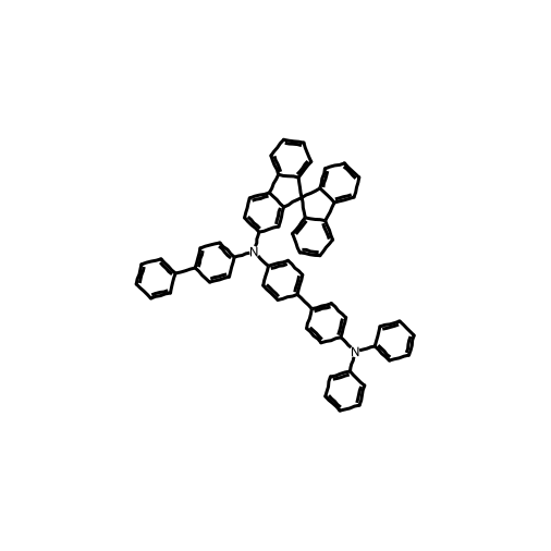 c1ccc(-c2ccc(N(c3ccc(-c4ccc(N(c5ccccc5)c5ccccc5)cc4)cc3)c3ccc4c(c3)C3(c5ccccc5-c5ccccc53)c3ccccc3-4)cc2)cc1